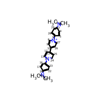 CN(C)c1ccc(-[n+]2ccc(-c3cc[n+](-c4ccc(N(C)C)cc4)cc3)cc2)cc1